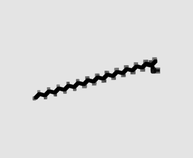 CCCCCCCCCCCCCCCCCCCCCCC/C=C(/C)O